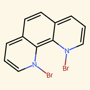 BrN1C=CC=c2ccc3c(c21)N(Br)C=CC=3